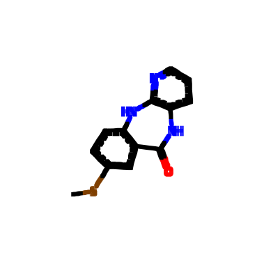 CSc1ccc2c(c1)C(=O)Nc1cccnc1N2